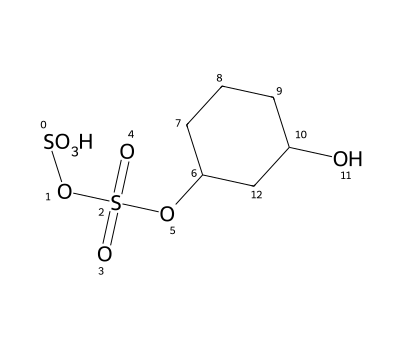 O=S(=O)(O)OS(=O)(=O)OC1CCCC(O)C1